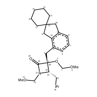 COCO[C@@]1(Cc2nccc3c2CC2(CCCCC2)C3)C(=O)N(COC)[C@H]1CC(C)C